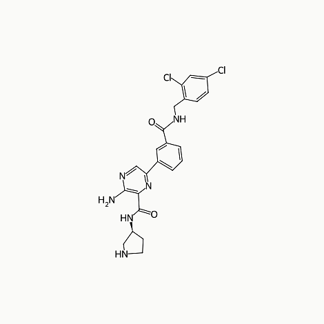 Nc1ncc(-c2cccc(C(=O)NCc3ccc(Cl)cc3Cl)c2)nc1C(=O)N[C@H]1CCNC1